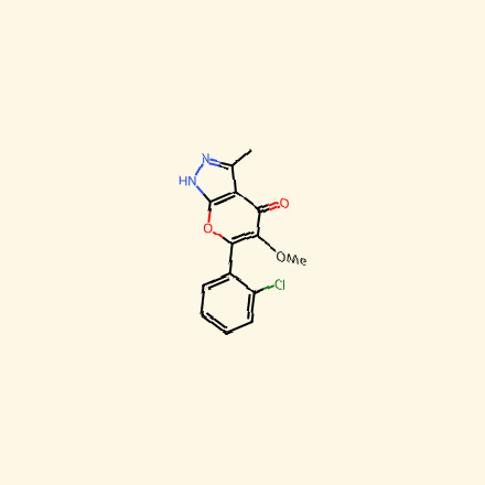 COc1c(-c2ccccc2Cl)oc2[nH]nc(C)c2c1=O